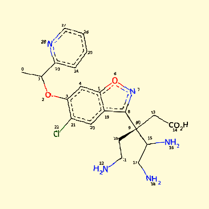 CC(Oc1cc2onc([C@](CCN)(CC(=O)O)C(N)CN)c2cc1Cl)c1ccccn1